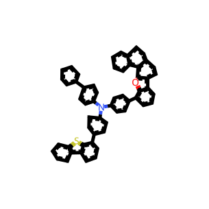 c1ccc(-c2ccc(N(c3ccc(-c4cccc5c4oc4c5ccc5ccc6ccccc6c54)cc3)c3ccc(-c4cccc5c4sc4ccccc45)cc3)cc2)cc1